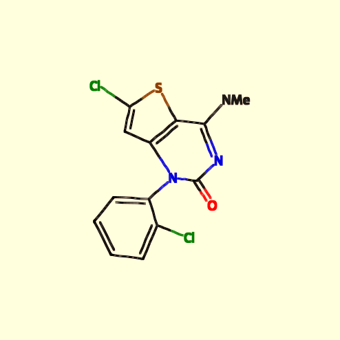 CNc1nc(=O)n(-c2ccccc2Cl)c2cc(Cl)sc12